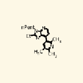 CCCCCn1c(CC)nc2c(-c3cc(C)c(C)nc3C)ccnc21